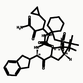 CC1(C)[C@@H]2[C@@H](C(=O)NC(CC3CC3)C(=O)C(N)=O)N(C(=O)[C@@H](NC(=O)NC3(CS(=O)(=O)C(C)(C)C)CCCCC3)C3Cc4ccccc4C3)C[C@@H]21